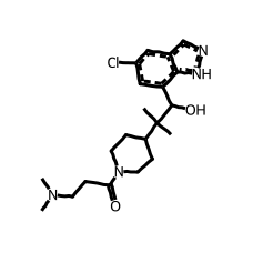 CN(C)CCC(=O)N1CCC(C(C)(C)C(O)c2cc(Cl)cc3cn[nH]c23)CC1